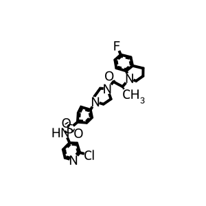 C[C@@H](C(=O)N1CCN(c2ccc(S(=O)(=O)Nc3ccnc(Cl)c3)cc2)CC1)N1CCCc2cc(F)ccc21